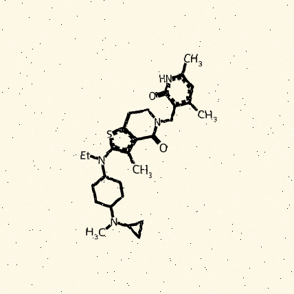 CCN(c1sc2c(c1C)C(=O)N(Cc1c(C)cc(C)[nH]c1=O)CC2)C1CCC(N(C)C2CC2)CC1